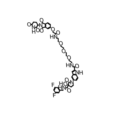 O=C(COc1ccc2c(c1)C(=O)N(C1CCC(=O)NC1=O)C2=O)NCCOCCOCCOCCNC(=O)c1cc2cc(N3CCC(O)(C(=O)NCc4cc(F)cc(F)c4)C3=O)ccc2[nH]1